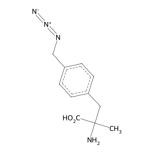 CC(N)(Cc1ccc(CN=[N+]=[N-])cc1)C(=O)O